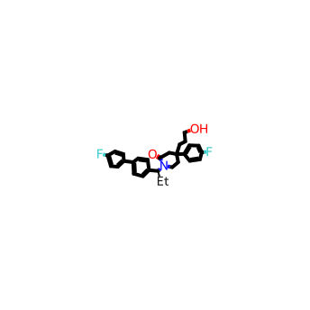 CC[C@@H](c1ccc(-c2ccc(F)cc2)cc1)N1CCC(CCCO)(c2ccc(F)cc2)CC1=O